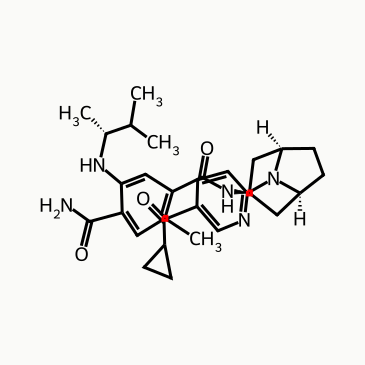 Cc1cc(C(N)=O)c(N[C@H](C)C(C)C)cc1C(=O)N[C@H]1C[C@H]2CC[C@@H](C1)N2c1ccc(C(=O)C2CC2)cn1